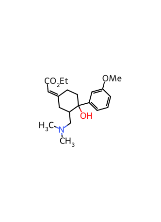 CCOC(=O)C=C1CCC(O)(c2cccc(OC)c2)C(CN(C)C)C1